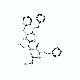 CC(C)C[C@H](NC(=O)[C@H](CCc1ccccc1)NC(=O)OC(C)(C)C)C(=O)N[C@H](Cc1ccccc1)C(=O)OCc1ccccc1